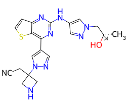 C[C@H](O)Cn1cc(Nc2nc(-c3cnn(C4(CC#N)CNC4)c3)c3sccc3n2)cn1